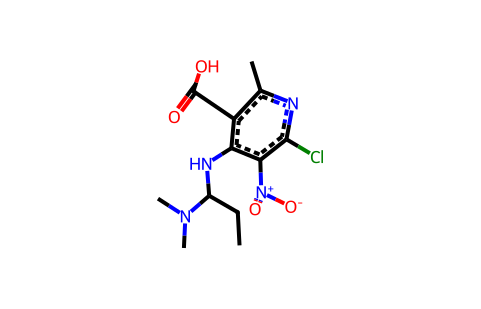 CCC(Nc1c(C(=O)O)c(C)nc(Cl)c1[N+](=O)[O-])N(C)C